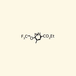 CCOC(=O)c1cc(C)c(OCC(F)(F)F)nn1